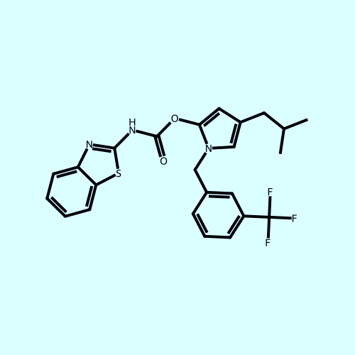 CC(C)Cc1cc(OC(=O)Nc2nc3ccccc3s2)n(Cc2cccc(C(F)(F)F)c2)c1